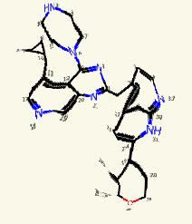 c1cc(-c2nc(N3CCNCC3)c3c(C4CC4)cncc3n2)c2cc(C3CCOCC3)[nH]c2n1